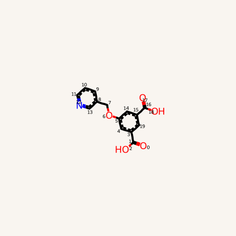 O=C(O)c1cc(OCc2cccnc2)cc(C(=O)O)c1